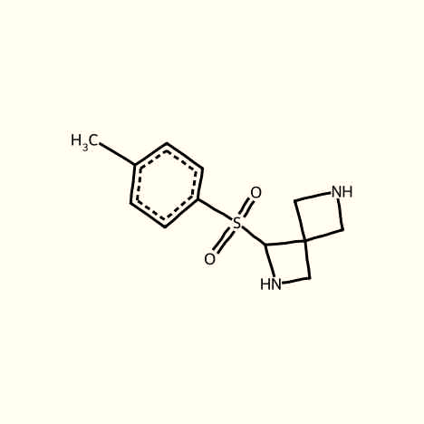 Cc1ccc(S(=O)(=O)C2NCC23CNC3)cc1